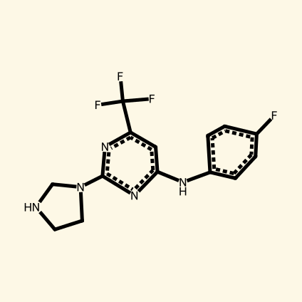 Fc1ccc(Nc2cc(C(F)(F)F)nc(N3CCNC3)n2)cc1